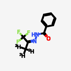 [2H]C([2H])([2H])C(=NNC(=O)c1ccccc1)C(F)(F)F